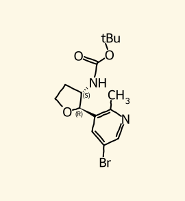 Cc1ncc(Br)cc1[C@H]1OCC[C@@H]1NC(=O)OC(C)(C)C